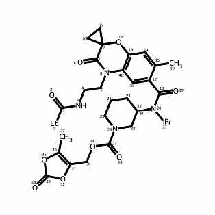 CCC(=O)NCCN1C(=O)C2(CC2)Oc2cc(C)c(C(=O)N(C(C)C)[C@@H]3CCCN(C(=O)OCc4oc(=O)oc4C)C3)cc21